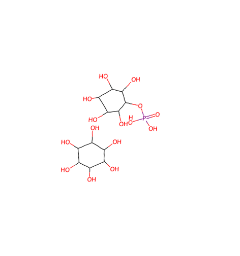 O=P(O)(O)OC1C(O)C(O)C(O)C(O)C1O.OC1C(O)C(O)C(O)C(O)C1O